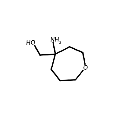 NC1(CO)CCCOCC1